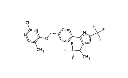 Cc1cnc(Cl)nc1OCc1ccc(-c2nc(C(F)(F)F)cn2C(C)C(F)(F)F)cc1